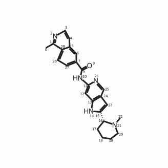 Cc1nccc2cc(C(=O)Nc3cc4[nH]c([C@H]5CCCCN5C)cc4cn3)ccc12